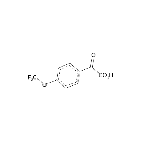 O=C(O)C(=O)c1ccc(OC(F)(F)F)cc1